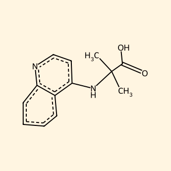 CC(C)(Nc1ccnc2ccccc12)C(=O)O